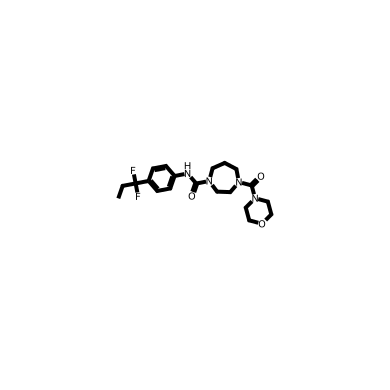 CCC(F)(F)c1ccc(NC(=O)N2CCCN(C(=O)N3CCOCC3)CC2)cc1